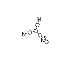 N#Cc1ccc(-c2cc(-c3ccc(C#N)cc3)cc(-c3ccc(-c4nc5ccccc5s4)cc3)c2)cc1